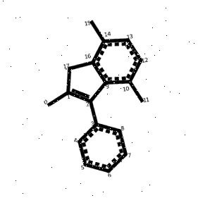 CC1=C(c2ccccc2)c2c(C)ccc(C)c2[CH]1